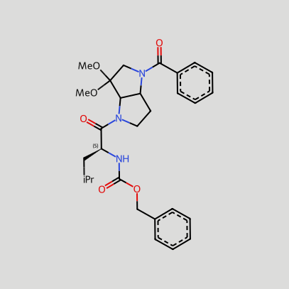 COC1(OC)CN(C(=O)c2ccccc2)C2CCN(C(=O)[C@H](CC(C)C)NC(=O)OCc3ccccc3)C21